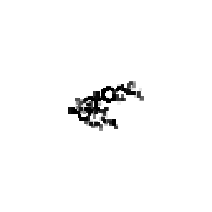 CC[C@@H]1Cc2cc(O[Si](C)(C)C)ccc2[C@H]2CC[C@]3(C)C(=O)C[C@@H](C)[C@H]3[C@H]12